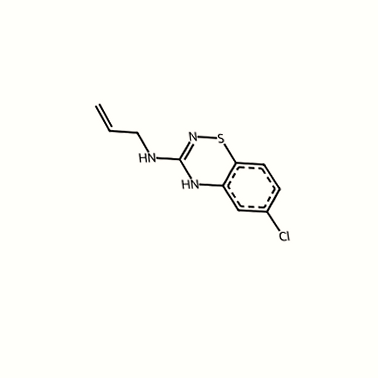 C=CCNC1=NSc2ccc(Cl)cc2N1